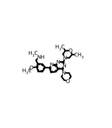 CNCc1cc(-c2ccc3c(N4CCOCC4)nc(N4CC(C)OC(C)C4)nc3n2)ccc1OC